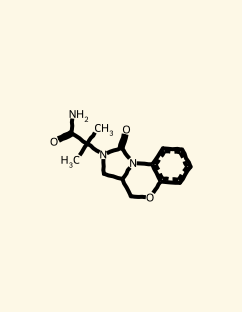 CC(C)(C(N)=O)N1CC2COc3ccccc3N2C1=O